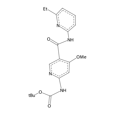 CCc1cccc(NC(=O)c2cnc(NC(=O)OC(C)(C)C)cc2OC)n1